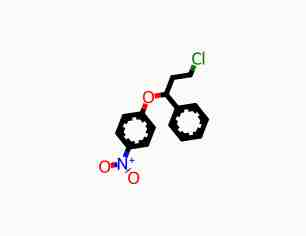 O=[N+]([O-])c1ccc(OC(CCCl)c2ccccc2)cc1